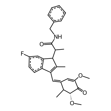 COC1=C/C(=C\C2=C(C)C(C(C)C(=O)NCc3ccccc3)c3cc(F)ccc32)C(C)[C@@H](OC)C1=O